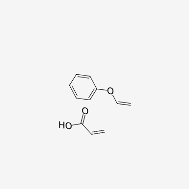 C=CC(=O)O.C=COc1ccccc1